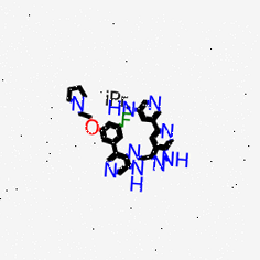 CC(C)Nc1cncc(-c2cc3c(-c4nc5c(-c6cc(F)cc(OCCN7CCCC7)c6)cncc5[nH]4)n[nH]c3cn2)c1